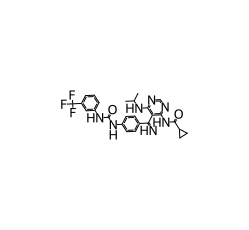 CC(C)Nc1ncnc(NC(=O)C2CC2)c1C(=N)c1ccc(NC(=O)Nc2cccc(C(F)(F)F)c2)cc1